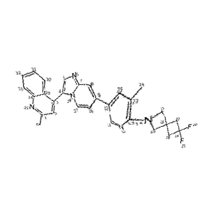 Cc1cc(-c2cnc3cc(-c4cnc(N5CC6(C5)CC(F)(F)C6)c(C)c4)ccn23)c2ccccc2n1